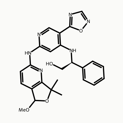 COC1OC(C)(C)c2nc(Nc3cc(N[C@H](CO)c4ccccc4)c(-c4ncno4)cn3)ccc21